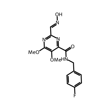 COc1nc(C=NO)nc(C(=O)NCc2ccc(F)cc2)c1OC